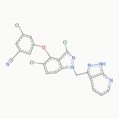 N#Cc1cc(Cl)cc(Oc2c(Cl)ccc3c2c(Cl)nn3Cc2n[nH]c3ncccc23)c1